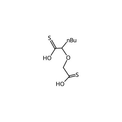 CCCCC(OCC(O)=S)C(O)=S